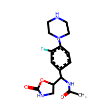 CC(=O)NC(c1ccc(N2CCNCC2)c(F)c1)C1CNC(=O)O1